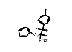 Br.Cc1ccc(C(F)(F)[C](F)(F)[Mg][c]2ccccc2)cc1